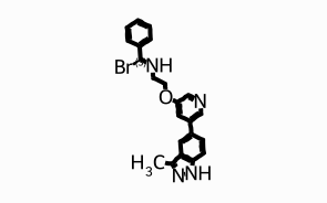 Cc1n[nH]c2ccc(-c3cncc(OCCN[C@@H](Br)c4ccccc4)c3)cc12